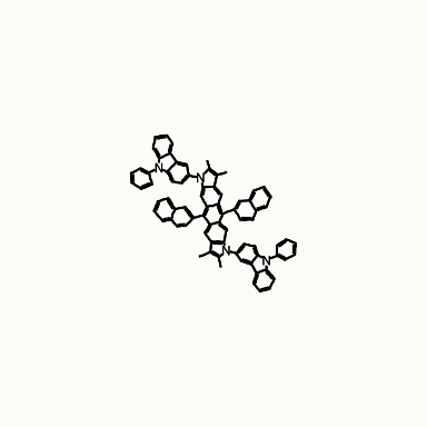 Cc1c(C)n(-c2ccc3c(c2)c2ccccc2n3-c2ccccc2)c2cc3c(-c4ccc5ccccc5c4)c4cc5c(C)c(C)n(-c6ccc7c(c6)c6ccccc6n7-c6ccccc6)c5cc4c(-c4ccc5ccccc5c4)c3cc12